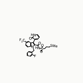 CSCCCS(=O)(=O)NC(=O)c1c(-c2ccc[nH]c2=O)c2cc(C(F)(F)F)ccc2n1Cc1ccccc1F